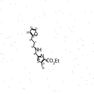 CCOC(=O)c1nc(CNCCCc2ccco2)sc1C